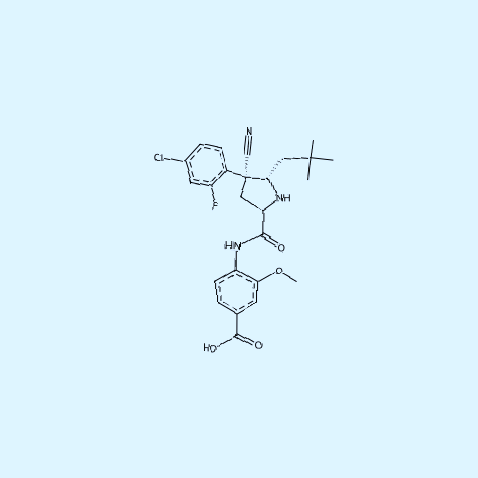 COc1cc(C(=O)O)ccc1NC(=O)C1C[C@@](C#N)(c2ccc(Cl)cc2F)[C@H](CC(C)(C)C)N1